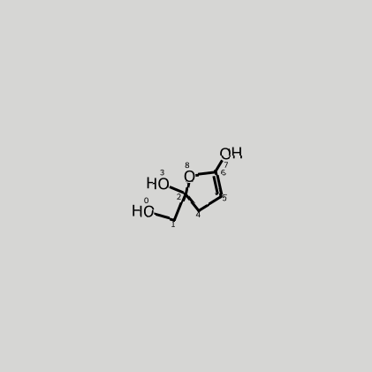 OCC1(O)CC=C(O)O1